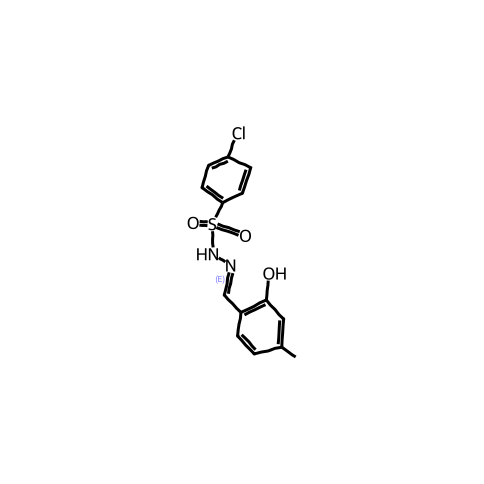 Cc1ccc(/C=N/NS(=O)(=O)c2ccc(Cl)cc2)c(O)c1